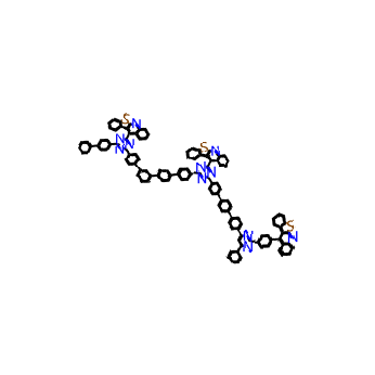 c1ccc(-c2ccc(-c3nc(-c4ccc(-c5cccc(-c6ccc(-c7ccc(-c8nc(-c9ccc(-c%10ccc(-c%11ccc(-c%12cc(-c%13ccccc%13)nc(-c%13ccc(-c%14c%15ccccc%15nc%15sc%16ccccc%16c%14%15)cc%13)n%12)cc%11)cc%10)cc9)nc(-c9c%10ccccc%10nc%10sc%11ccccc%11c9%10)n8)cc7)cc6)c5)cc4)nc(-c4c5ccccc5nc5sc6ccccc6c45)n3)cc2)cc1